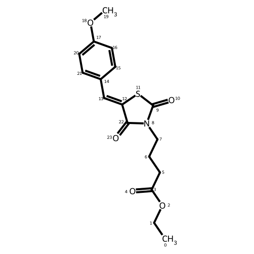 CCOC(=O)CCCN1C(=O)S/C(=C\c2ccc(OC)cc2)C1=O